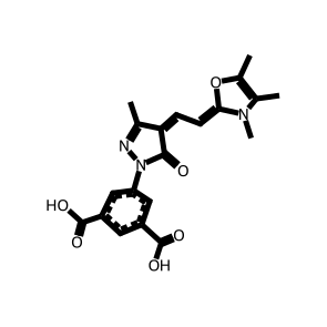 CC1=NN(c2cc(C(=O)O)cc(C(=O)O)c2)C(=O)C1=CC=C1OC(C)=C(C)N1C